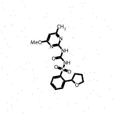 COc1cc(C)nc(NC(=O)NS(=O)(=O)c2ccccc2C2CCCO2)n1